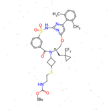 Cc1cccc(C)c1-c1cc2nc(n1)NS(=O)(=O)c1cccc(c1)C(=O)N(C1CC(SCCNC(=O)OC(C)(C)C)C1)[C@H](CC1(C(F)(F)F)CC1)CO2